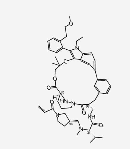 C=CC(=O)N1CC[C@H](CN(C)[C@H](C(=O)NC[C@H]2Cc3cccc(c3)-c3ccc4c(c3)c(c(-c3ccccc3CCOC)n4CC)CC(C)(C)COC(=O)[C@@H]3CCCN(N3)C2=O)C(C)C)C1